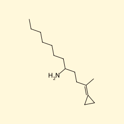 CCCCCCCC(N)CCC(C)=C1CC1